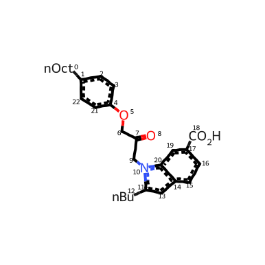 CCCCCCCCc1ccc(OCC(=O)Cn2c(CCCC)cc3ccc(C(=O)O)cc32)cc1